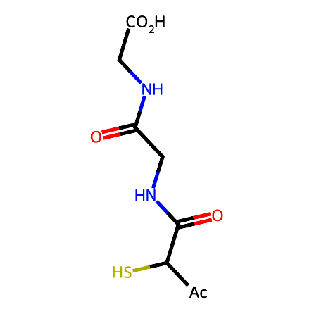 CC(=O)C(S)C(=O)NCC(=O)NCC(=O)O